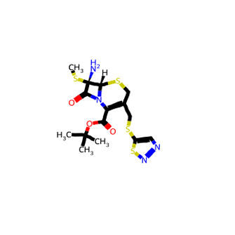 CS[C@@]1(N)C(=O)N2C(C(=O)OC(C)(C)C)=C(CSc3cnns3)CS[C@H]21